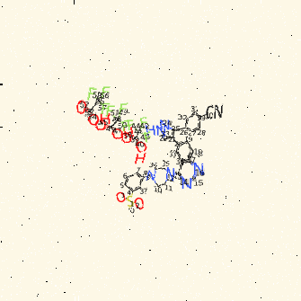 CS(=O)(=O)c1cccc(N2CCN(c3ncnc4ccc(-c5c[nH]nc5-c5ccc(C#N)cc5)cc34)CC2)c1.O=C(O)C(F)(F)F.O=C(O)C(F)(F)F.O=C(O)C(F)(F)F